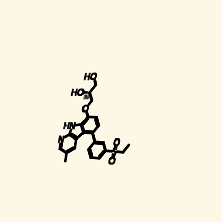 CCS(=O)(=O)c1cccc(-c2ccc(OC[C@@H](O)CO)c3[nH]c4ncc(C)cc4c23)c1